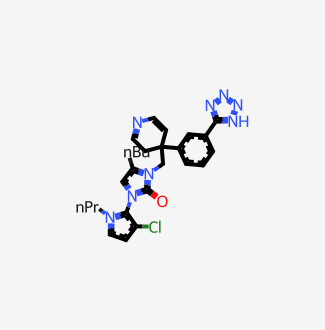 CCCCc1cn(-c2c(Cl)ccn2CCC)c(=O)n1CC1(c2cccc(-c3nnn[nH]3)c2)C=CN=CC1